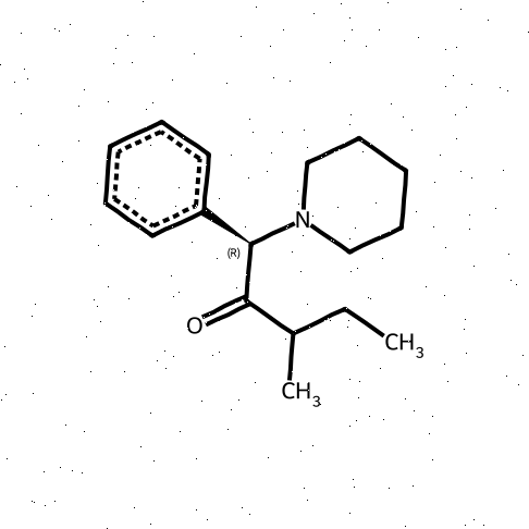 CCC(C)C(=O)[C@@H](c1ccccc1)N1CCCCC1